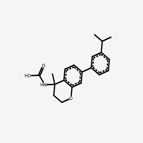 CC(C)c1cccc(-c2ccc3c(c2)OCCC3(C)NC(=O)O)c1